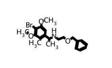 COc1cc(C(C)NCCOCc2ccccc2)c(C)c(OC)c1Br